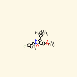 Cc1cc(Cl)ccc1-c1ccc(NC(=O)C(Cc2ccc(C(=O)OC(C)(C)C)cc2)c2ccc(C3=CC[C@H](C(C)(C)C)CC3)cc2)cc1